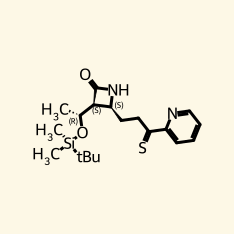 C[C@@H](O[Si](C)(C)C(C)(C)C)[C@H]1C(=O)N[C@H]1CCC(=S)c1ccccn1